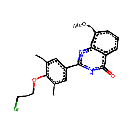 COc1cccc2c(=O)[nH]c(-c3cc(C)c(OCCBr)c(C)c3)nc12